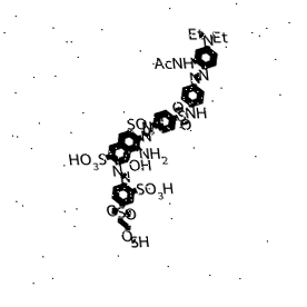 CCN(CC)c1ccc(/N=N/c2ccc(NS(=O)(=O)c3ccc(/N=N/c4c(S(=O)(=O)O)cc5cc(S(=O)(=O)O)c(/N=N/c6ccc(S(=O)(=O)CCOS)cc6S(=O)(=O)O)c(O)c5c4N)cc3)cc2)c(NC(C)=O)c1